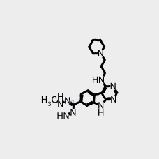 CN/N=C(\N=N)c1ccc2c(c1)[nH]c1ncnc(NCCCN3CCCCC3)c12